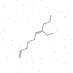 C=CCCC/C=C(\CC)CCC